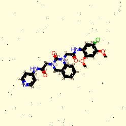 COc1cc(OC)c(NC(=O)CN2C(=O)N(CC(=O)Nc3ccncc3)Cc3ccccc32)cc1Cl